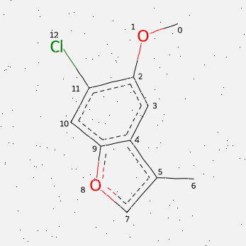 COc1cc2c(C)coc2cc1Cl